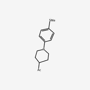 CSc1ccc(N2CCC(C(C)=O)CC2)cc1